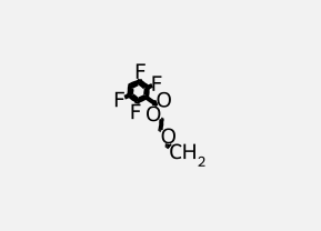 C=COCCOC(=O)c1c(F)c(F)cc(F)c1F